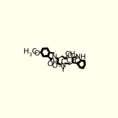 COc1ccc2c(c1)C(=O)N([C@@H](CC(C)(C)C)C(=O)N(I)CC[C@H]1C(=O)Nc3ccccc31)C2